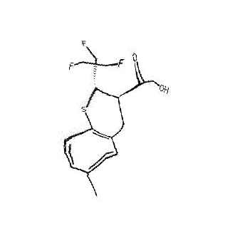 Cc1ccc2c(c1)C[C@H](C(=O)O)[C@@H](C(F)(F)F)S2